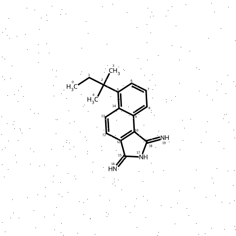 CCC(C)(C)c1cccc2c3c(ccc12)C(=N)NC3=N